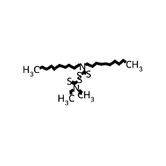 CCCCCCCCCCN(CCCCCCCCCC)C(=S)SSC(=S)N(CC)CC